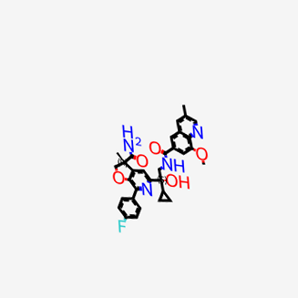 COc1cc(C(=O)NC[C@](O)(c2cc3c(c(-c4ccc(F)cc4)n2)OC[C@]3(C)C(N)=O)C2CC2)cc2cc(C)cnc12